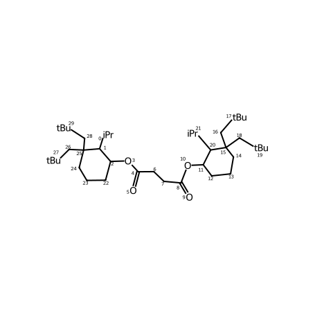 CC(C)C1C(OC(=O)CCC(=O)OC2CCCC(CC(C)(C)C)(CC(C)(C)C)C2C(C)C)CCCC1(CC(C)(C)C)CC(C)(C)C